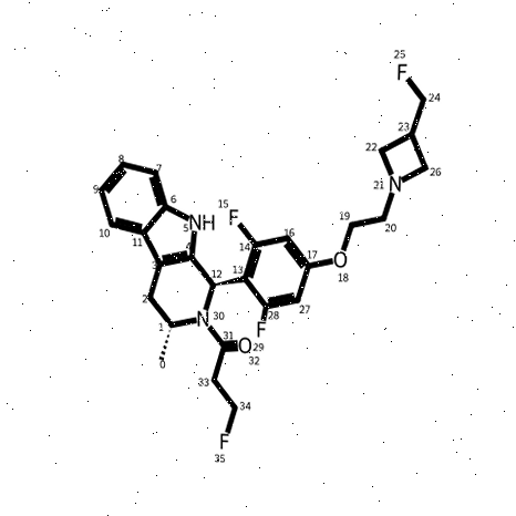 C[C@@H]1Cc2c([nH]c3ccccc23)[C@@H](c2c(F)cc(OCCN3CC(CF)C3)cc2F)N1C(=O)CCF